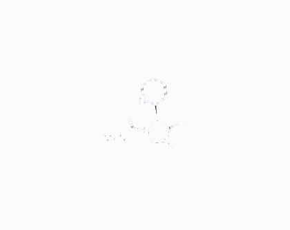 CNC(=O)N1CN(C)C(=O)[C@@H]1c1ccccn1